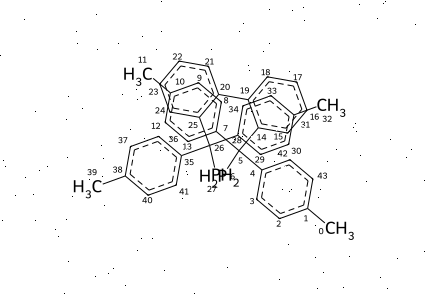 Cc1ccc(C(P)(c2ccc(C)cc2)c2ccccc2-c2ccccc2C(P)(c2ccc(C)cc2)c2ccc(C)cc2)cc1